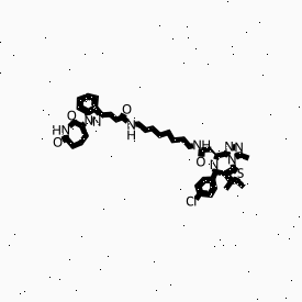 Cc1sc2c(c1C)C(c1ccc(Cl)cc1)=N[C@@H](CC(=O)NCCCCCCCCNC(=O)CCc1nn(C3CCCC(=O)NC3=O)c3ccccc13)c1nnc(C)n1-2